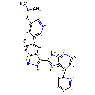 CN(C)Cc1cncc(-c2cc3c(-c4nc5c(-c6ccccn6)ccnc5[nH]4)n[nH]c3cc2F)c1